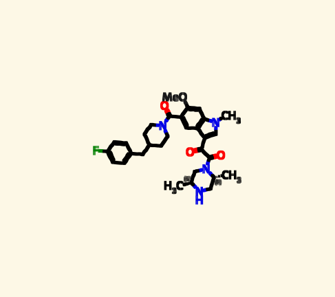 COc1cc2c(cc1C(=O)N1CCC(Cc3ccc(F)cc3)CC1)c(C(=O)C(=O)N1C[C@H](C)NC[C@H]1C)cn2C